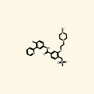 CC(=O)N1CCN(CCOc2cc(C(=O)Nc3ccc(I)c(-c4ccccn4)c3)ccc2CS(C)(=O)=O)CC1